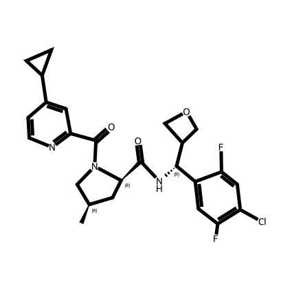 C[C@@H]1C[C@H](C(=O)N[C@@H](c2cc(F)c(Cl)cc2F)C2COC2)N(C(=O)c2cc(C3CC3)ccn2)C1